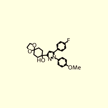 COc1ccc(-n2nc(C3(O)CCC4(CC3)OCCO4)cc2-c2ccc(F)cc2)cc1